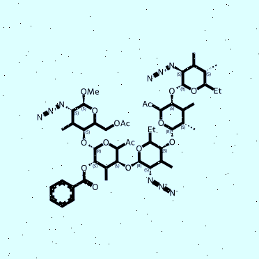 CCC1O[C@H](O[C@@H]2C(C(C)=O)O[C@@H](O[C@@H]3C(CC)O[C@H](O[C@@H]4C(C(C)=O)O[C@@H](O[C@@H]5C(COC(C)=O)O[C@H](OC)[C@@H](N=[N+]=[N-])C5C)[C@@H](OC(=O)c5ccccc5)C4C)[C@@H](N=[N+]=[N-])C3C)[C@@H](C)C2C)[C@@H](N=[N+]=[N-])C(C)[C@@H]1C